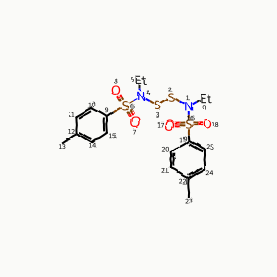 CCN(SSN(CC)S(=O)(=O)c1ccc(C)cc1)S(=O)(=O)c1ccc(C)cc1